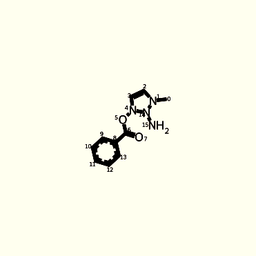 CN1C=CN(OC(=O)c2ccccc2)N1N